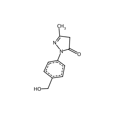 CC1=NN(c2ccc(CO)cc2)C(=O)C1